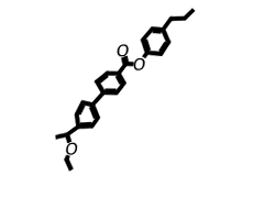 CCCc1ccc(OC(=O)c2ccc(-c3ccc(C(C)OCC)cc3)cc2)cc1